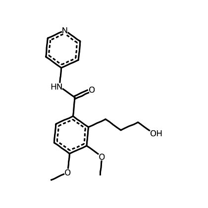 COc1ccc(C(=O)Nc2ccncc2)c(CCCO)c1OC